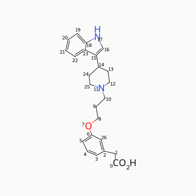 O=C(O)Cc1cccc(OCCCN2CCC(c3c[nH]c4ccccc34)CC2)c1